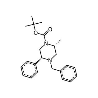 C[C@@H]1CN(Cc2ccccc2)[C@@H](c2ccccc2)CN1C(=O)OC(C)(C)C